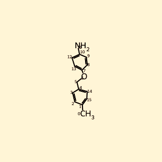 Cc1ccc(COc2ccc(N)cc2)cc1